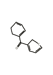 O=C(C1=CC=CCC1)C1=CC=CCC1